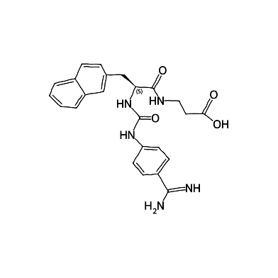 N=C(N)c1ccc(NC(=O)N[C@@H](Cc2ccc3ccccc3c2)C(=O)NCCC(=O)O)cc1